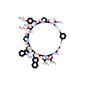 CCC[C@@H]1NC(=O)CCSCc2cccc(c2)CSC[C@@H](C(N)=O)NC(=O)[C@@H]2CCCN2C(=O)[C@H](Cc2ccc(OC)cc2)NC(=O)C([C@@H](C)OC)NC(=O)[C@@H]2CCCN2C(=O)[C@H](Cc2cn(C)c3ccccc23)N(C)C(=O)[C@H](Cc2ccc3ccccc3c2)NC(=O)[C@@H](CC(C)C)N(C)C1=O